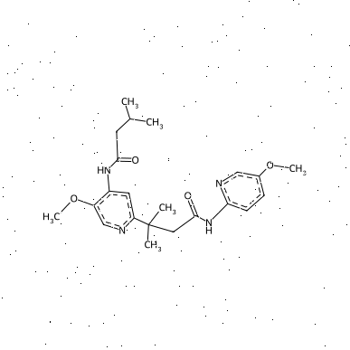 COc1ccc(NC(=O)CC(C)(C)c2cc(NC(=O)CC(C)C)c(OC)cn2)nc1